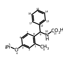 Cc1cc(OC(C)C)ccc1C(NC(=O)O)c1ccccc1